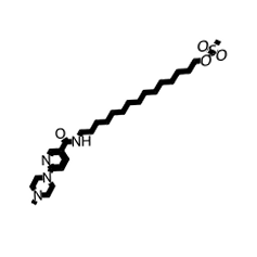 CN1CCN(c2ccc(C(=O)NCCCCCCCCCCCCCCCOS(C)(=O)=O)cn2)CC1